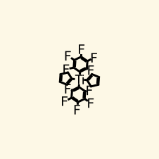 Fc1c(F)c(F)[c]([Ti]([C]2=CC=CC2)([C]2=CC=CC2)[c]2c(F)c(F)c(F)c(F)c2F)c(F)c1F